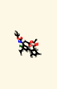 CCOC(=O)C[C@H](NC(=O)OC(C)(C)C)c1cc(-c2c(C)cc(C)cc2CO)cc(C2CC2)c1F